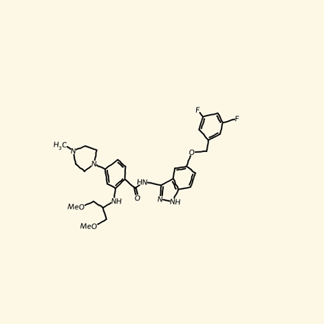 COCC(COC)Nc1cc(N2CCN(C)CC2)ccc1C(=O)Nc1n[nH]c2ccc(OCc3cc(F)cc(F)c3)cc12